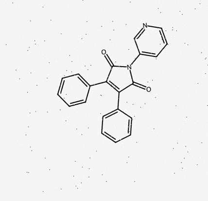 O=C1C(c2ccccc2)=C(c2ccccc2)C(=O)N1c1cccnc1